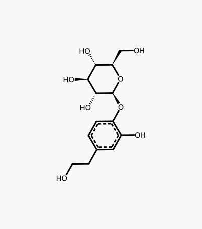 OCCc1ccc(O[C@@H]2O[C@H](CO)[C@@H](O)[C@H](O)[C@H]2O)c(O)c1